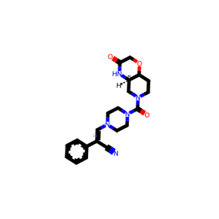 N#C/C(=C\N1CCN(C(=O)N2CCC3OCC(=O)N[C@@H]3C2)CC1)c1ccccc1